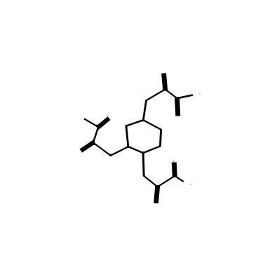 C=C(CC1CCC(CC(=C)C(=O)O)C(CC(=C)C(=O)O)C1)C(=O)O